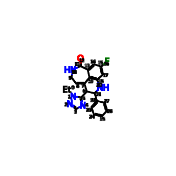 CCn1ncnc1C1C2=CCNC(=O)c3cc(F)cc(c32)NC1c1ccccc1